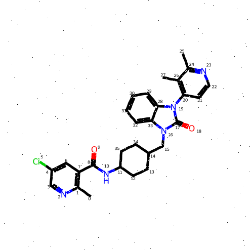 Cc1ncc(Cl)cc1C(=O)NC1CCC(Cn2c(=O)n(-c3ccnc(C)c3C)c3ccccc32)CC1